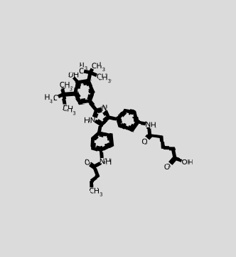 CCCC(=O)Nc1ccc(-c2[nH]c(-c3cc(C(C)(C)C)c(O)c(C(C)(C)C)c3)nc2-c2ccc(NC(=O)CCCC(=O)O)cc2)cc1